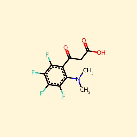 CN(C)c1c(F)c(F)c(F)c(F)c1C(=O)CC(=O)O